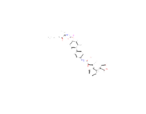 COC(=O)[C@@H](NS(=O)(=O)c1ccc(-c2ccc(NC(=O)c3oc4cccc(-c5ccoc5)c4c3C)cc2)cc1)C(C)C